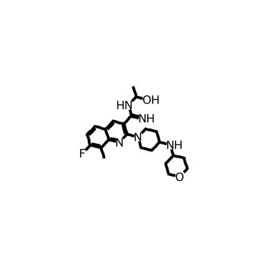 Cc1c(F)ccc2cc(C(=N)NC(C)O)c(N3CCC(NC4CCOCC4)CC3)nc12